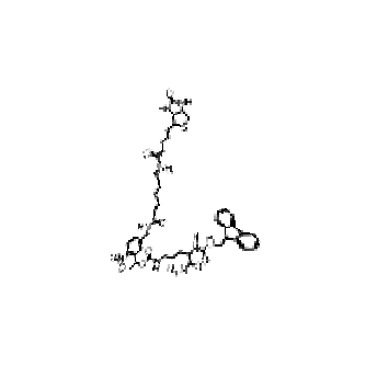 CC(OC(=O)NCCCC(NC(=O)OCC1c2ccccc2-c2ccccc21)C(N)=O)c1cc(CNC(=O)CCCCCNC(=O)CCCCC2SCC3NC(=O)NC32)ccc1[N+](=O)[O-]